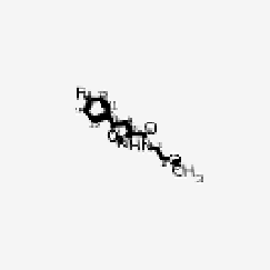 COCCNC(=O)c1cc(-c2ccc(F)cc2)on1